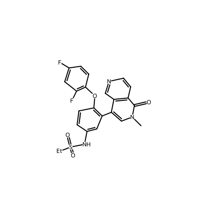 CCS(=O)(=O)Nc1ccc(Oc2ccc(F)cc2F)c(-c2cn(C)c(=O)c3ccncc23)c1